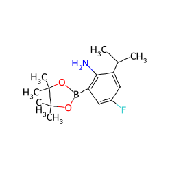 CC(C)c1cc(F)cc(B2OC(C)(C)C(C)(C)O2)c1N